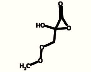 COOCC1(O)OC1=O